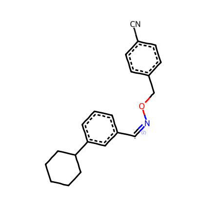 N#Cc1ccc(CO/N=[C]\c2cccc(C3CCCCC3)c2)cc1